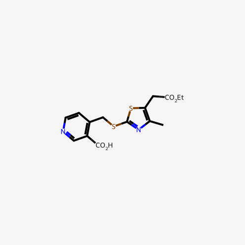 CCOC(=O)Cc1sc(SCc2ccncc2C(=O)O)nc1C